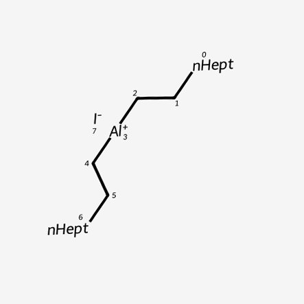 CCCCCCCC[CH2][Al+][CH2]CCCCCCCC.[I-]